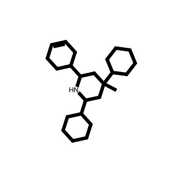 CC1(C2CCCCC2)CC(C2CC=CCC2)NC(C2CCCCC2)C1